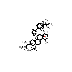 CC(C)[C@@H](C)[C@@]1(C)CC[C@]2(C)[C@H]3CC[C@H]4[C@]5(C)CO[C@@H](C)[C@@]4(C[C@@H](n4ncnc4-c4ccncc4)[C@@H]5OCC(C)(N)C(C)(C)C)C3=CC[C@@]2(C)[C@@H]1C(=O)O